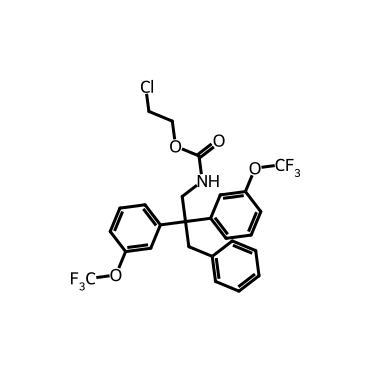 O=C(NCC(Cc1ccccc1)(c1cccc(OC(F)(F)F)c1)c1cccc(OC(F)(F)F)c1)OCCCl